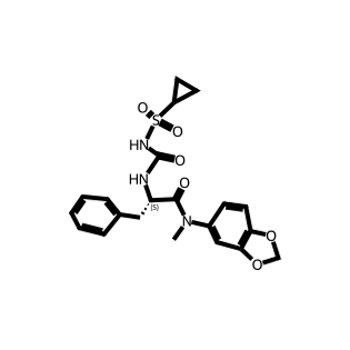 CN(C(=O)[C@H](Cc1ccccc1)NC(=O)NS(=O)(=O)C1CC1)c1ccc2c(c1)OCO2